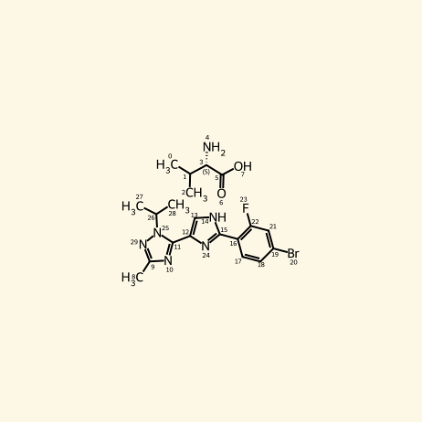 CC(C)[C@H](N)C(=O)O.Cc1nc(-c2c[nH]c(-c3ccc(Br)cc3F)n2)n(C(C)C)n1